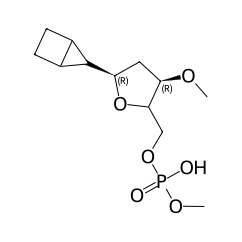 CO[C@@H]1C[C@H](C2C3CCC32)OC1COP(=O)(O)OC